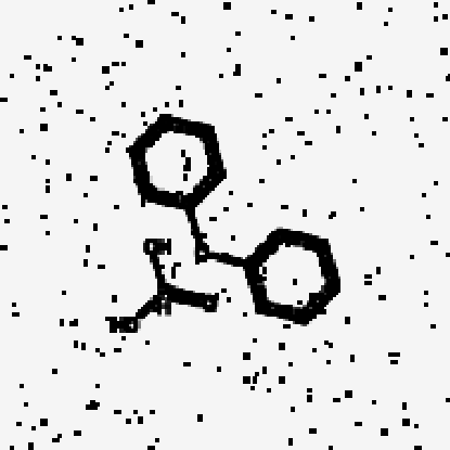 O=[PH](O)O.c1ccc(Oc2ccccc2)cc1